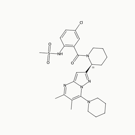 Cc1nc2cc([C@@H]3CCCCN3C(=O)c3cc(Cl)ccc3NS(C)(=O)=O)nn2c(N2CCCCC2)c1C